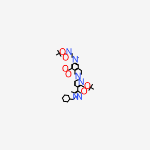 COC(=O)c1cc(N(C)CCN(C)C(=O)OC(C)(C)C)cc2c1CN(c1ccc(-c3cnn(CC4CCCCC4)c3C)c(C(=O)OC(C)(C)C)n1)CC2